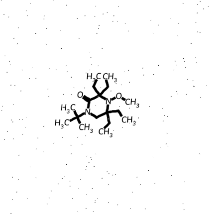 CCC1(CC)CN(C(C)(C)C)C(=O)C(CC)(CC)N1OC